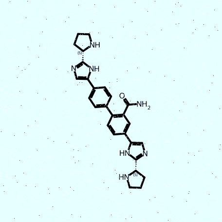 NC(=O)c1cc(-c2cnc([C@@H]3CCCN3)[nH]2)ccc1-c1ccc(-c2cnc([C@@H]3CCCN3)[nH]2)cc1